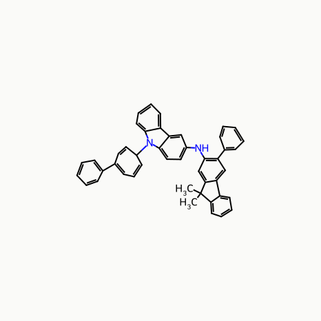 CC1(C)c2ccccc2-c2cc(-c3ccccc3)c(Nc3ccc4c(c3)c3ccccc3n4C3C=CC=C(c4ccccc4)C=C3)cc21